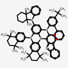 CC(C)(C)c1ccc(N2c3cc(N4c5ccccc5C5(C)CCCCC45C)cc4c3B(c3cc5c(cc3N4c3ccc4c(c3)C(C)(C)CCC4(C)C)C(C)(C)CCC5(C)C)c3c2ccc2c3sc3ccccc32)c(-c2ccccc2)c1